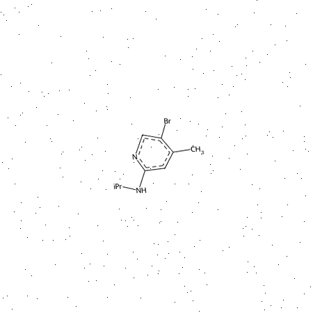 Cc1cc(NC(C)C)ncc1Br